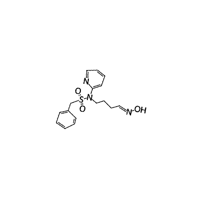 O=S(=O)(Cc1ccccc1)N(CCCC=NO)c1ccccn1